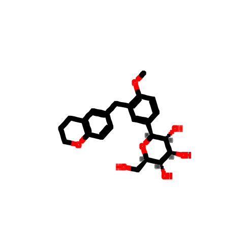 COc1ccc([C@@H]2O[C@H](CO)[C@@H](O)[C@H](O)[C@H]2O)cc1Cc1ccc2c(c1)CCCO2